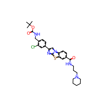 CC(C)(C)OC(=O)NCc1ccc(-c2cn3c(n2)sc2cc(C(=O)NCCCN4CCCCC4)ccc23)cc1Cl